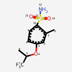 Cc1cc(OC(C)C(F)(F)F)ccc1S(N)(=O)=O